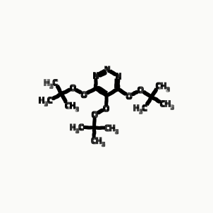 CC(C)(C)OOc1nnnc(OOC(C)(C)C)c1OOC(C)(C)C